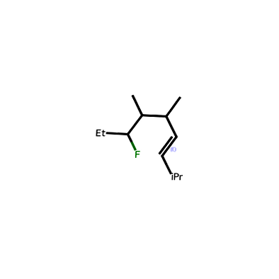 CCC(F)C(C)C(C)/C=C/C(C)C